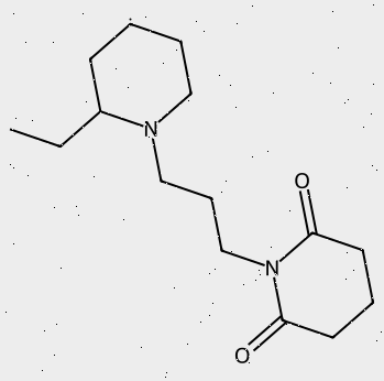 CCC1C[CH]CCN1CCCN1C(=O)CCCC1=O